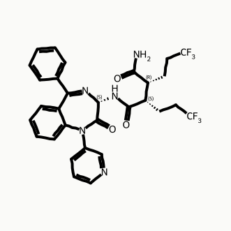 NC(=O)[C@H](CCC(F)(F)F)[C@H](CCC(F)(F)F)C(=O)N[C@H]1N=C(c2ccccc2)c2ccccc2N(c2cccnc2)C1=O